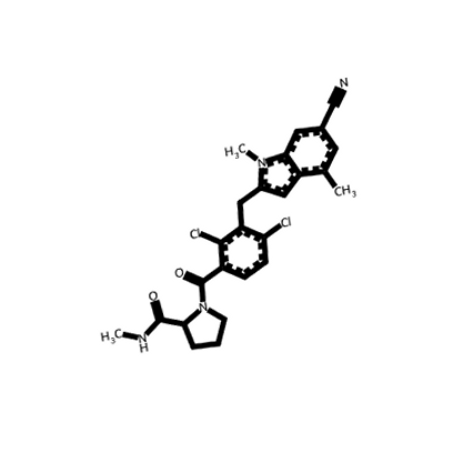 CNC(=O)C1CCCN1C(=O)c1ccc(Cl)c(Cc2cc3c(C)cc(C#N)cc3n2C)c1Cl